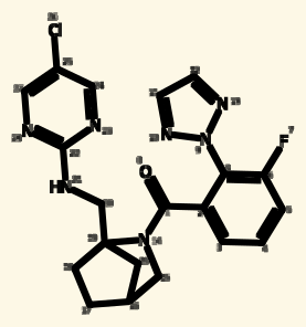 O=C(c1cccc(F)c1-n1nccn1)N1CC2CCC1(CNc1ncc(Cl)cn1)C2